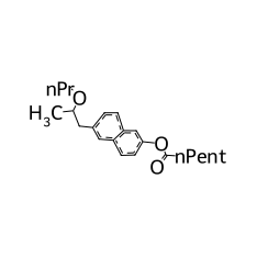 CCCCCC(=O)Oc1ccc2cc(CC(C)OCCC)ccc2c1